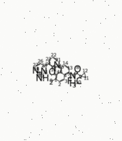 Cc1ccc2c(NC(=O)C3(C(F)(F)F)CC3)cccc2c1Oc1ncccc1-c1ccnc(N)n1